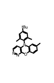 Cc1ccc2c(c1)N(c1c(C)cc(C(C)(C)C)cc1C)c1ccnnc1O2